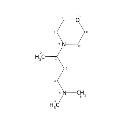 CC(CCN(C)C)N1CCOCC1